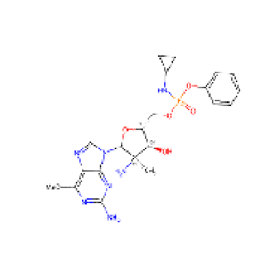 COc1nc(N)nc2c1ncn2C1O[C@H](COP(=O)(NC2CC2)Oc2ccccc2)[C@@H](O)[C@@]1(C)N